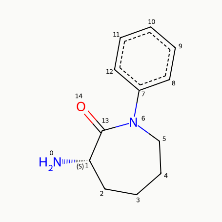 N[C@H]1CCCCN(c2ccccc2)C1=O